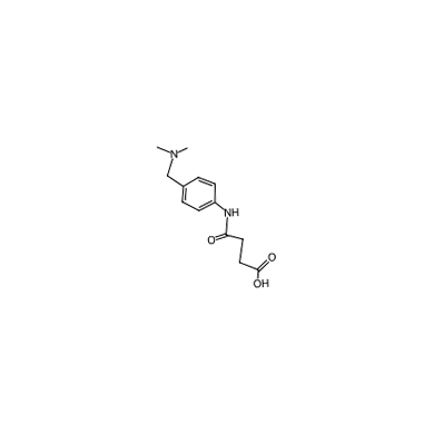 CN(C)Cc1ccc(NC(=O)CCC(=O)O)cc1